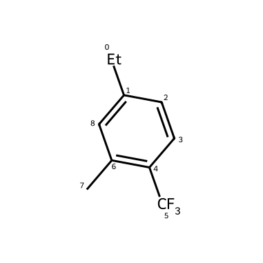 [CH2]Cc1ccc(C(F)(F)F)c(C)c1